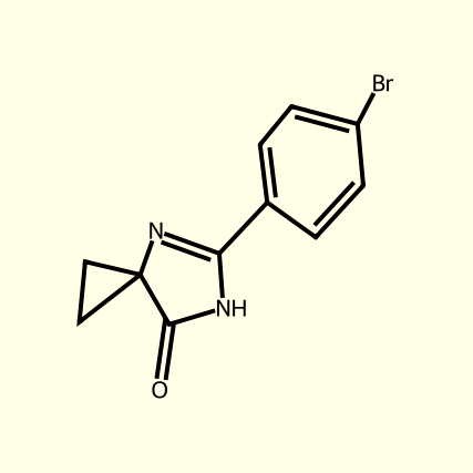 O=C1NC(c2ccc(Br)cc2)=NC12CC2